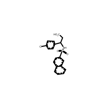 O=C(O)CC(NS(=O)(=O)c1ccc2ccccc2c1)c1ccc(Cl)cc1